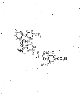 CCOC(=O)c1cc(OC)c(OC(=O)CCCc2ccc(NC(=O)c3ccc(C)nc3-c3ccc(C(F)(F)F)cc3)c(C(=O)N(C)C)c2)c(OC)c1